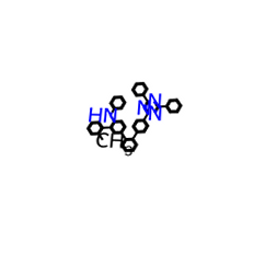 Cc1ccccc1-c1cc(-c2ccccc2-c2ccc(-c3nc(-c4ccccc4)nc(-c4ccccc4)n3)cc2)ccc1Nc1ccccc1